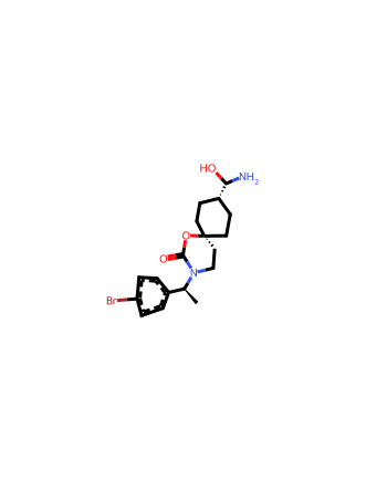 C[C@@H](c1ccc(Br)cc1)N1CC[C@]2(CC[C@@H](C(N)O)CC2)OC1=O